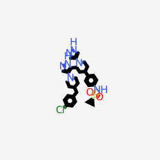 O=S(=O)(Nc1ccc(C2CCN(c3cn[nH]c3)C(c3[nH]ncc3N3CCC(Cc4ccc(Cl)cc4)CC3)C2)cc1)C1CC1